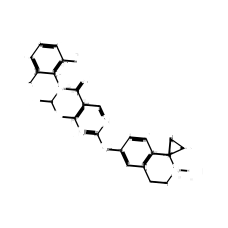 CC1Sc2nc(Nc3ccc4c(c3)CCN(C)C43CC3)ncc2C(=O)N1c1c(Cl)cccc1Cl